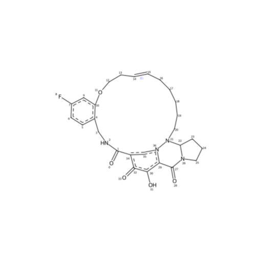 O=C1NCc2ccc(F)cc2OCC/C=C/CCCCCN2C3CCCN3C(=O)c3c(O)c(=O)c1cn32